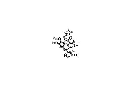 COc1cc(C2C(C(=O)OCC3CCCO3)=C(C)NC3=C2C(=O)CC(C)(C)C3)ccc1O